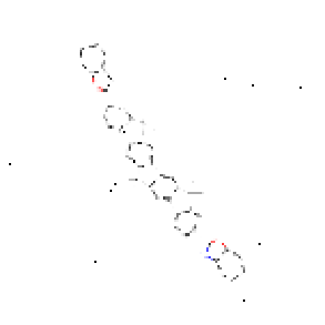 CC1(C)c2cc(-c3cc4ccccc4o3)ccc2-c2cc3c(cc21)-c1cc2c(cc1C3(C)C)-c1ccc(-c3nc4ccccc4o3)cc1C2(C)C